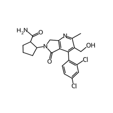 Cc1nc2c(c(-c3ccc(Cl)cc3Cl)c1CO)C(=O)N(C1CCCC1C(N)=O)C2